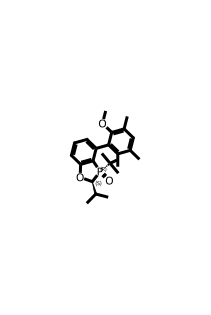 COc1c(C)cc(C)c(C)c1-c1cccc2c1[P@](=O)(C(C)(C)C)[C@@H](C(C)C)O2